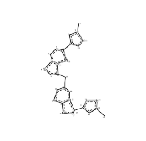 Cn1cc(-c2ccc3ncc(Cc4ccc5ncc(-c6cnn(C)c6)n5c4)n3n2)cn1